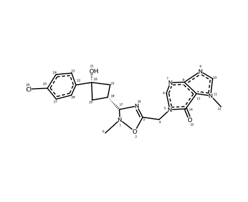 CN1OC(Cn2cnc3ncn(C)c3c2=O)=NC1[C@H]1C[C@](O)(c2ccc(Cl)cc2)C1